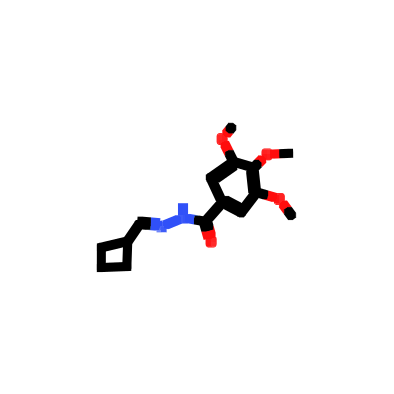 COc1cc(C(=O)N/N=C/C2CCC2)cc(OC)c1OC